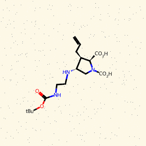 C=CC[C@@H]1[C@@H](NCCNC(=O)OC(C)(C)C)CN(C(=O)O)[C@@H]1C(=O)O